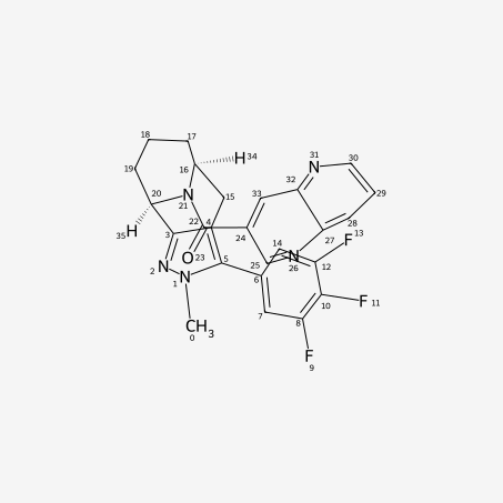 Cn1nc2c(c1-c1cc(F)c(F)c(F)c1)C[C@@H]1CCC[C@H]2N1C(=O)c1cnc2cccnc2c1